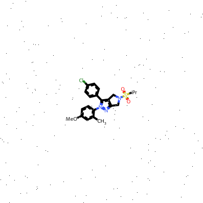 COc1ccc(-n2nc3c(c2-c2ccc(Cl)cc2)CN(S(=O)(=O)C(C)C)C3)c(C)c1